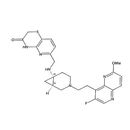 COc1ccc2ncc(F)c(CCN3CC[C@]4(NCc5ccc6c(n5)NC(=O)CS6)C[C@@H]4C3)c2n1